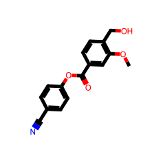 COc1cc(C(=O)Oc2ccc(C#N)cc2)ccc1CO